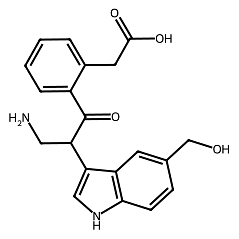 NCC(C(=O)c1ccccc1CC(=O)O)c1c[nH]c2ccc(CO)cc12